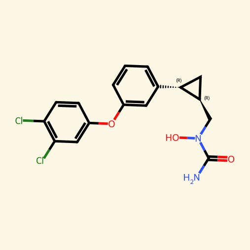 NC(=O)N(O)C[C@@H]1C[C@H]1c1cccc(Oc2ccc(Cl)c(Cl)c2)c1